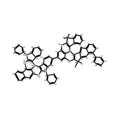 CC1(C)C2=C(B3C4=C(Sc5cc(-c6ccc7c8c(n(-c9ccccc9)c7c6)Oc6cc7ccccc7c7c6B8c6c(n(-c8ccccc8)c8ccccc68)O7)cc(c53)S2)C(C)(C)c2cc3c(-c5ccccc5)cccc3cc24)c2ccccc21